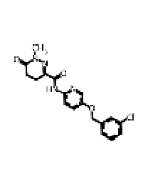 CN1N=C(C(=O)Nc2ccc(OCc3cccc(Cl)c3)cn2)CCC1=O